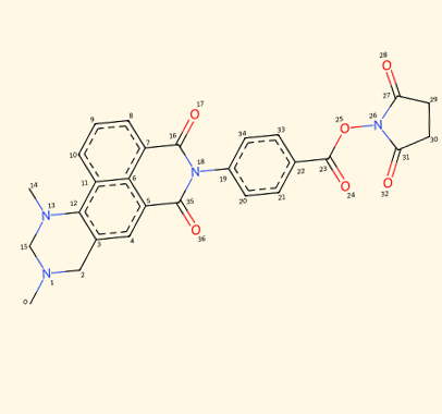 CN1Cc2cc3c4c(cccc4c2N(C)C1)C(=O)N(c1ccc(C(=O)ON2C(=O)CCC2=O)cc1)C3=O